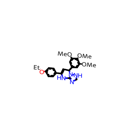 CCOc1ccc(C2=CC(c3cc(OC)c(OC)c(OC)c3)N3NCN=C3N2)cc1